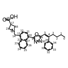 CCCCC(=Cc1nnc(-c2ccc(CN3CC(C(=O)O)C3)c3ccccc23)o1)c1ccccc1